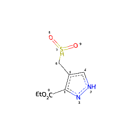 CCOC(=O)c1n[nH]cc1C[SH](=O)=O